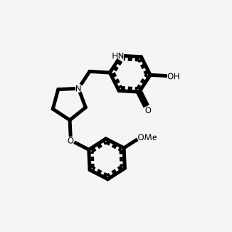 COc1cccc(OC2CCN(Cc3cc(=O)c(O)c[nH]3)C2)c1